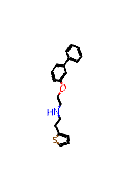 c1ccc(-c2cccc(OCCNCCc3cccs3)c2)cc1